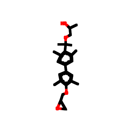 Cc1cc(-c2cc(C)c(C(C)(C)OCC(C)O)c(C)c2)cc(C)c1OCC1CO1